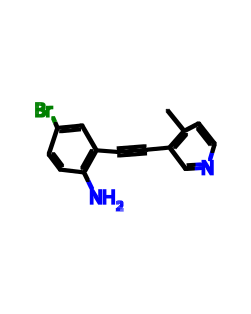 Cc1ccncc1C#Cc1cc(Br)ccc1N